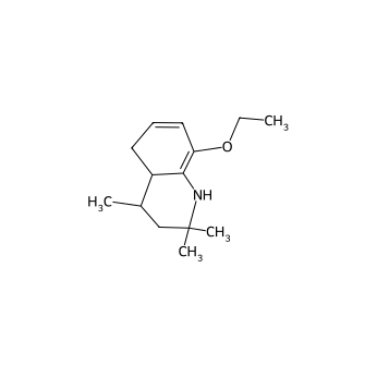 CCOC1=C2NC(C)(C)CC(C)C2CC=C1